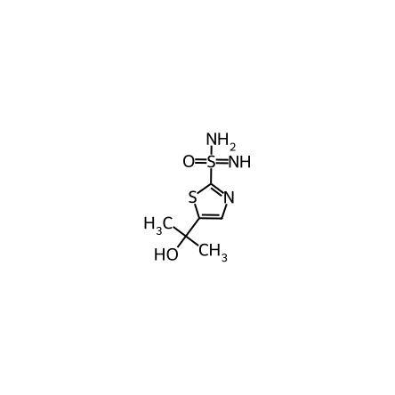 CC(C)(O)c1cnc(S(=N)(N)=O)s1